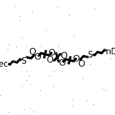 CCCCCCCCCCCCCCSCCC(=O)OCC(C)(C)C1OCC2(CO1)COC(C(C)(C)COC(=O)CCSCCCCCCCCCCCCCC)OC2